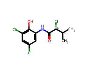 CC(C)[C@H](Cl)C(=O)Nc1cc(Cl)cc(Cl)c1O